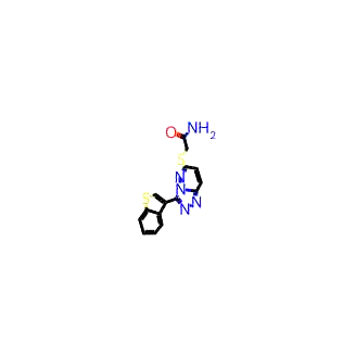 NC(=O)CSc1ccc2nnc(-c3csc4ccccc34)n2n1